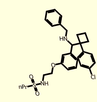 CCCS(=O)(=O)NCCOc1cccc(C(NCc2ccccc2)C2(c3ccc(Cl)cc3)CCC2)c1